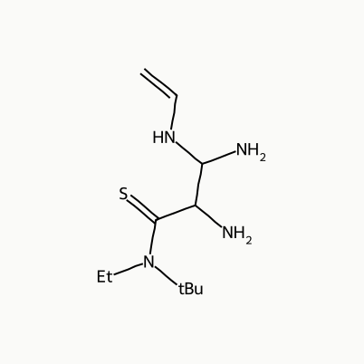 C=CNC(N)C(N)C(=S)N(CC)C(C)(C)C